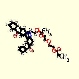 C=CC(=O)OCCOCCOC(C)OCCn1c2ccc(C(=O)c3ccccc3)cc2c2cc(C(=O)c3ccccc3)ccc21